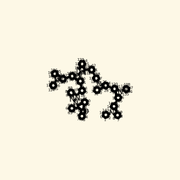 c1ccc(-n2c3ccccc3c3cc(-c4ccc5c(c4)c4cc(-c6ccc7c(c6)c6ccccc6n7-c6ccc(-c7cccc(-c8nc(-n9c%10ccc(-c%11cccc(-c%12nc(-n%13c%14ccccc%14c%14c%15c%16ccccc%16oc%15c%15ccccc%15c%14%13)nc%13ccccc%12%13)c%11)cc%10c%10cc(-c%11ccc%12c(c%11)c%11ccccc%11n%12-c%11ccccc%11)ccc%109)nc9ccccc89)c7)cc6)ccc4n5-c4ccccc4)ccc32)cc1